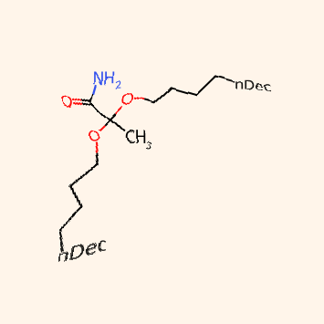 CCCCCCCCCCCCCCOC(C)(OCCCCCCCCCCCCCC)C(N)=O